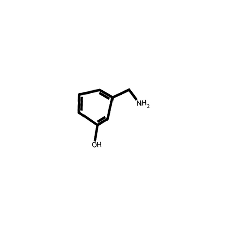 NCc1[c]c(O)ccc1